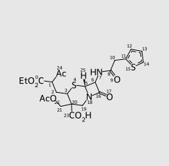 CCOC(=O)C(CC1S[C@@H]2C(NC(=O)Cc3cccs3)C(=O)N2CC1(COC(C)=O)C(=O)O)C(C)=O